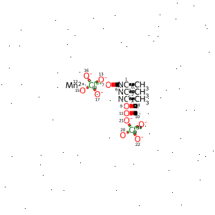 CC#N.CC#N.CC#N.[C]=O.[C]=O.[C]=O.[Mn+2].[O-][Cl+3]([O-])([O-])[O-].[O-][Cl+3]([O-])([O-])[O-]